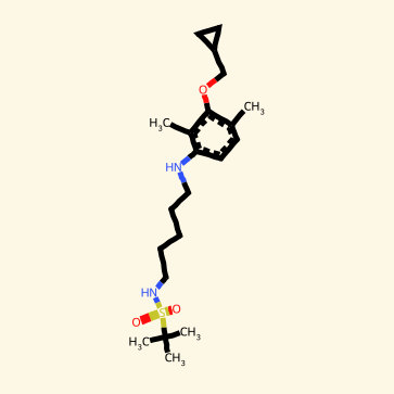 Cc1ccc(NCCCCCNS(=O)(=O)C(C)(C)C)c(C)c1OCC1CC1